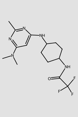 Cc1nc(NC2CCC(NC(=O)C(F)(F)F)CC2)cc(N(C)C)n1